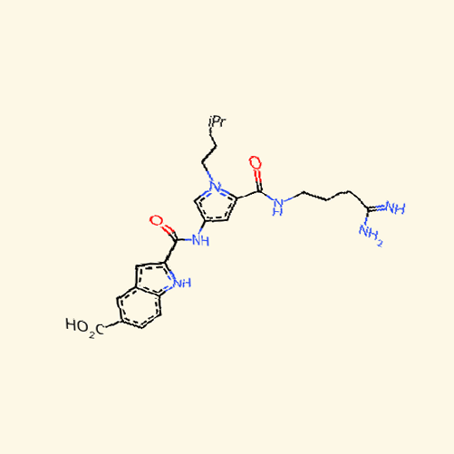 CC(C)CCn1cc(NC(=O)c2cc3cc(C(=O)O)ccc3[nH]2)cc1C(=O)NCCCC(=N)N